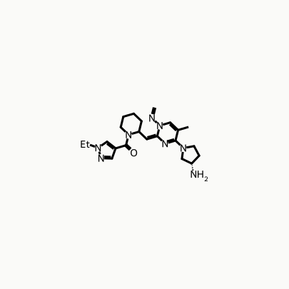 C=NN1C=C(C)C(N2CC[C@H](N)C2)=N/C1=C/C1CCCCN1C(=O)c1cnn(CC)c1